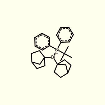 C[C](C)(C)[BiH]([c]1ccccc1)([c]1ccccc1)[Bi]([C]12CCC(CC1)C2)[C]12CCC(CC1)C2